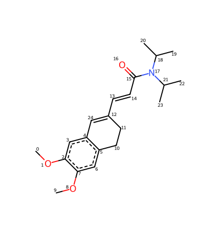 COc1cc2c(cc1OC)CCC(/C=C/C(=O)N(C(C)C)C(C)C)=C2